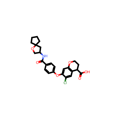 O=C(NC1COC2(CCCC2)C1)c1ccc(Oc2cc3c(cc2Cl)C(C(=O)O)CCO3)cc1